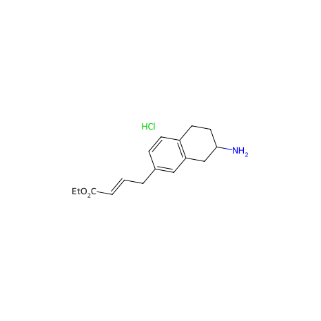 CCOC(=O)C=CCc1ccc2c(c1)CC(N)CC2.Cl